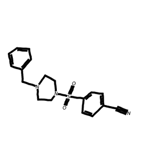 N#Cc1ccc(S(=O)(=O)N2CCN(Cc3ccccc3)CC2)cc1